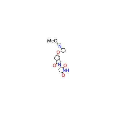 COC1CN([C@@H]2CCC[C@@H]2Oc2ccc3c(c2)CN(C2CCC(=O)NC2=O)C3=O)C1